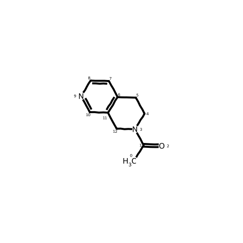 CC(=O)N1CCc2ccncc2C1